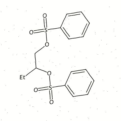 CCC(COS(=O)(=O)c1ccccc1)OS(=O)(=O)c1ccccc1